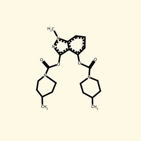 CC1CCN(C(=O)Oc2cccc3c2c(OC(=O)N2CCC(C)CC2)nn3C)CC1